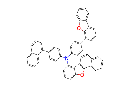 c1ccc2c(-c3ccc(N(c4ccc(-c5cccc6c5oc5ccccc56)cc4)c4cccc5oc6c7ccccc7ccc6c45)cc3)cccc2c1